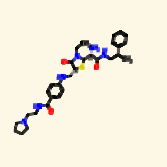 CCN1C(=O)[C@@H](CNc2ccc(C(=O)NCCN3CCCC3)cc2)SC1[C@H](N)C(=O)NCC(C)c1ccccc1